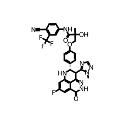 Cn1ncnc1C1c2n[nH]c(=O)c3cc(F)cc(c23)N[C@@H]1c1ccc(OCC(C)(O)C(=O)Nc2ccc(C#N)c(C(F)(F)F)c2)cc1